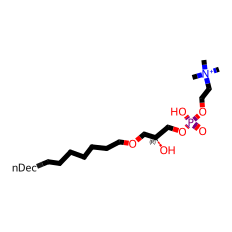 CCCCCCCCCCCCCCCCCOC[C@@H](O)COP(=O)(O)OCC[N+](C)(C)C